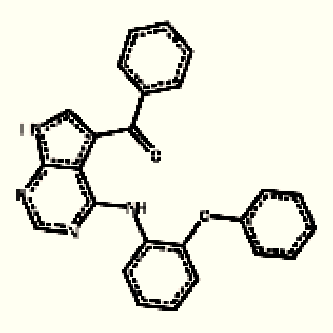 O=C(c1ccccc1)c1c[nH]c2ncnc(Nc3ccccc3Oc3ccccc3)c12